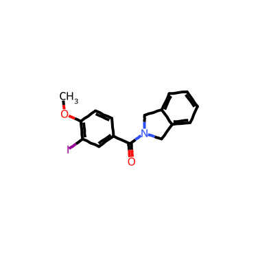 COc1ccc(C(=O)N2Cc3ccccc3C2)cc1I